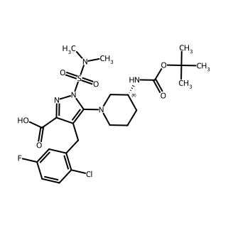 CN(C)S(=O)(=O)n1nc(C(=O)O)c(Cc2cc(F)ccc2Cl)c1N1CCC[C@@H](NC(=O)OC(C)(C)C)C1